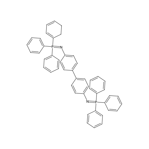 C1=CCCC(P(=Nc2ccc(-c3ccc(N=P(c4ccccc4)(c4ccccc4)c4ccccc4)cc3)cc2)(c2ccccc2)c2ccccc2)=C1